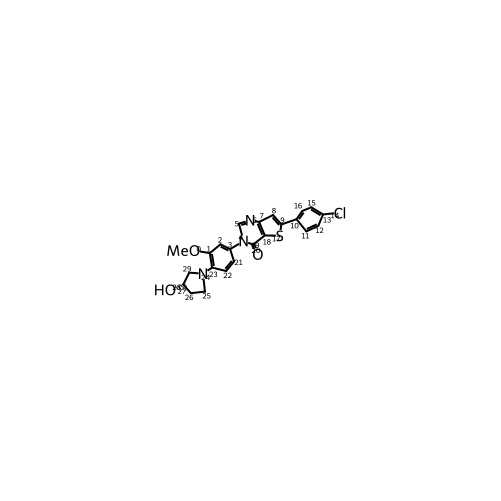 COc1cc(-n2cnc3cc(-c4ccc(Cl)cc4)sc3c2=O)ccc1N1CC[C@H](O)C1